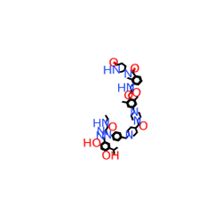 CCNC(=O)c1nnc(-c2cc(C(C)C)c(O)cc2O)n1-c1ccc(CN2CCC(C(=O)N3CCN(c4cc(C)c(OC(=O)Nc5cccc6c5CN(C5CCC(=O)NC5)C6=O)c(C)c4)CC3)CC2)cc1